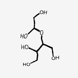 OCC(O)OC(CO)C(O)CO